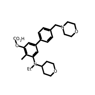 CCN(c1cc(-c2ccc(CN3CCOCC3)cc2)cc(OC(=O)O)c1C)C1CCOCC1